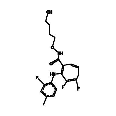 Cc1ccc(NC2=C(C(=O)NOCCCCO)C=CCC(F)=C2F)c(F)c1